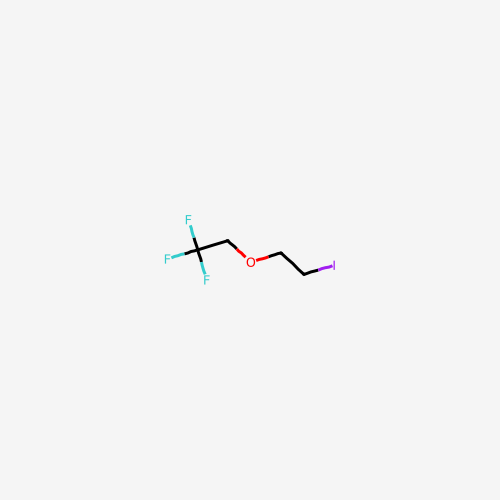 FC(F)(F)COCCI